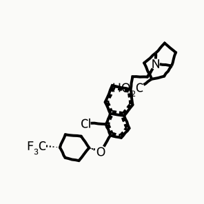 O=C(O)C1CC2CCC(C1)N2CCc1ccc2c(Cl)c(O[C@H]3CC[C@@H](C(F)(F)F)CC3)ccc2c1